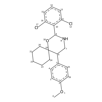 COc1ccc(C2CNC(c3c(Cl)cccc3Cl)OC23CCCCC3)cc1